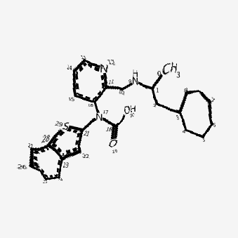 CC(CC1CCCCC1)NCc1ncccc1N(C(=O)O)c1cc2ccccc2s1